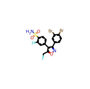 NS(=O)(=O)c1ccc(-c2c(-c3ccc(Br)c(Br)c3)noc2CF)cc1F